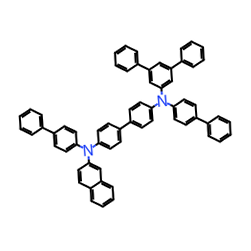 c1ccc(-c2ccc(N(c3ccc(-c4ccc(N(c5ccc(-c6ccccc6)cc5)c5ccc6ccccc6c5)cc4)cc3)c3cc(-c4ccccc4)cc(-c4ccccc4)c3)cc2)cc1